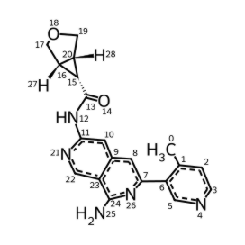 Cc1ccncc1-c1cc2cc(NC(=O)[C@@H]3[C@@H]4COC[C@@H]43)ncc2c(N)n1